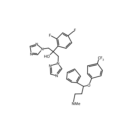 CNCCC(Oc1ccc(C(F)(F)F)cc1)c1ccccc1.OC(Cn1cncn1)(Cn1cncn1)c1ccc(F)cc1F